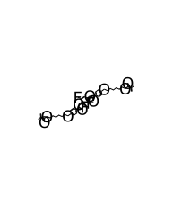 C=C(C)C(=O)OCCCCCCOc1ccc(C(=O)Oc2cc(F)c(OC(=O)c3ccc(OCCCCCCOC(=O)C(=C)C)cc3)c(F)c2F)cc1